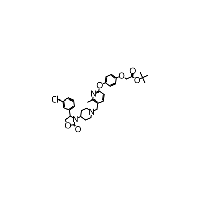 Cc1nc(Oc2ccc(OCC(=O)OC(C)(C)C)cc2)ccc1CN1CCC(N2C(=O)OCC2c2cccc(Cl)c2)CC1